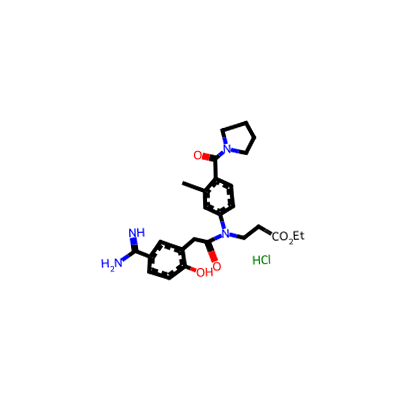 CCOC(=O)CCN(C(=O)Cc1cc(C(=N)N)ccc1O)c1ccc(C(=O)N2CCCC2)c(C)c1.Cl